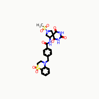 CS(=O)(=O)N1CC(NC(=O)c2ccc(CN3CCS(=O)(=O)c4ccccc43)cc2)C2(C1)C(=O)NC(=O)NC2=O